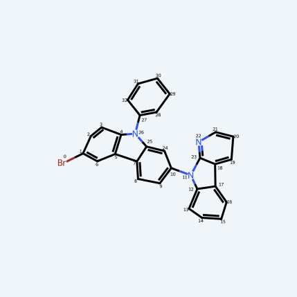 Brc1ccc2c(c1)c1ccc(-n3c4ccccc4c4cccnc43)cc1n2-c1ccccc1